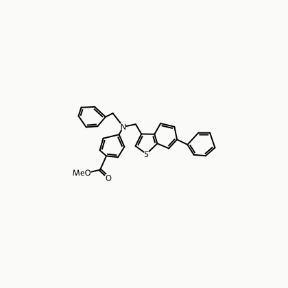 COC(=O)c1ccc(N(Cc2ccccc2)Cc2csc3cc(-c4ccccc4)ccc23)cc1